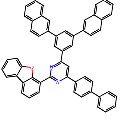 c1ccc(-c2ccc(-c3cc(-c4cc(-c5ccc6ccccc6c5)cc(-c5ccc6ccccc6c5)c4)nc(-c4cccc5c4oc4ccccc45)n3)cc2)cc1